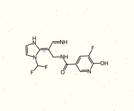 N=C/C(CNC(=O)c1cnc(O)c(F)c1)=C1\NC=CN1C(F)F